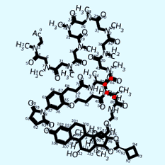 CC(=O)CN(C)C(=O)CN(C)C(=O)CN(C)C(=O)CN(C)C(=O)CN(C)C(=O)CN(C)C(=O)CN(C)C(=O)CN(C)C(=O)CN(C)C(=O)CN(C)C(=O)CCCOc1cc(N2C(=O)C=CC2=O)ccc1CCC(=O)N[C@@H](C)C(=O)N[C@@H](C)C(=O)NCOCC(=O)[C@@]12O[C@H](C3CCC3)O[C@@H]1C[C@H]1[C@@H]3CCC4=CC(=O)C=C[C@]4(C)[C@H]3[C@@H](O)C[C@@]12C